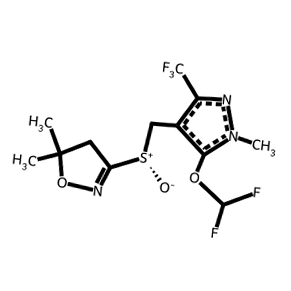 Cn1nc(C(F)(F)F)c(C[S@+]([O-])C2=NOC(C)(C)C2)c1OC(F)F